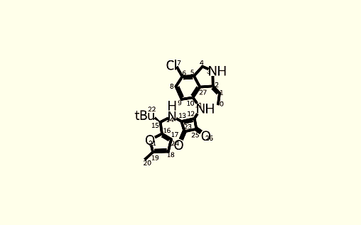 C/C=C1/NCc2c(Cl)ccc(Nc3c(N[C@@H](c4ccc(C)o4)C(C)(C)C)c(=O)c3=O)c21